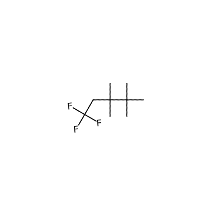 CC(C)(C)C(C)(C)CC(F)(F)F